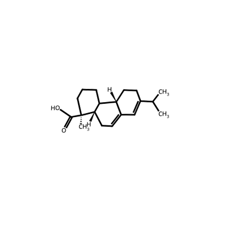 CC(C)C1=CC2=CC[C@H]3C(CCC[C@]3(C)C(=O)O)[C@@H]2CC1